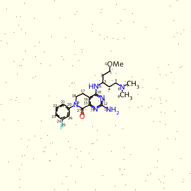 COCCC(CCN(C)C)Nc1nc(N)nc2c1CCN(c1cccc(F)c1)C2=O